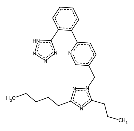 CCCCCc1nc(CCC)n(Cc2ccc(-c3ccccc3-c3nnn[nH]3)nc2)n1